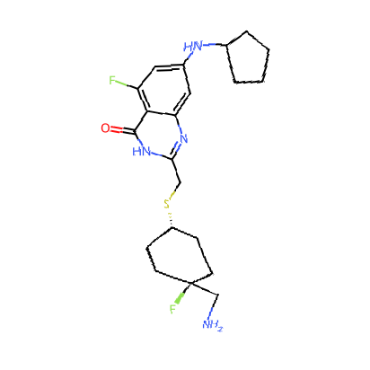 NC[C@]1(F)CC[C@H](SCc2nc3cc(NC4CCCC4)cc(F)c3c(=O)[nH]2)CC1